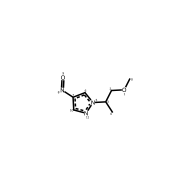 COCC(C)n1cc(N=O)cn1